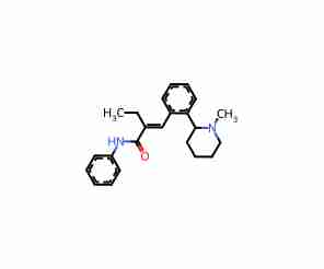 CCC(=Cc1ccccc1C1CCCCN1C)C(=O)Nc1ccccc1